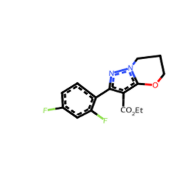 CCOC(=O)c1c(-c2ccc(F)cc2F)nn2c1OCCC2